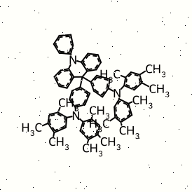 Cc1cc(C)c(N(c2ccc(C3(c4ccc(N(c5cc(C)c(C)cc5C)c5cc(C)c(C)cc5C)cc4)c4ccccc4N(c4ccccc4)c4ccccc43)cc2)c2cc(C)c(C)cc2C)cc1C